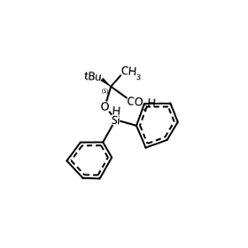 CC(C)(C)[C@](C)(O[SiH](c1ccccc1)c1ccccc1)C(=O)O